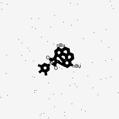 CCCCc1cc2c3c(=O)n(-c4cc(C)c(C)c(C)c4)c(=O)c3c3cc(CCCC)c4ccc5ccc1c1c5c4c3c21